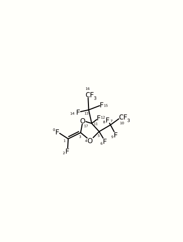 FC(F)=C1OC(F)(C(F)(F)C(F)(F)F)C(F)(C(F)(F)C(F)(F)F)O1